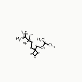 CC(C)OCC1(CCC(F)(F)C(C)C)CCC1